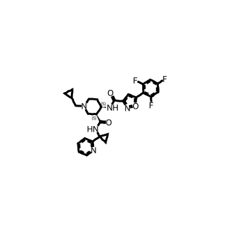 O=C(N[C@H]1CCN(CC2CC2)C[C@@H]1C(=O)NC1(c2ccccn2)CC1)c1cc(-c2c(F)cc(F)cc2F)on1